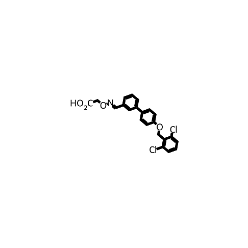 O=C(O)CON=Cc1cccc(-c2ccc(OCc3c(Cl)cccc3Cl)cc2)c1